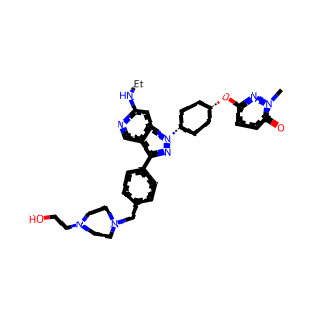 CCNc1cc2c(cn1)c(-c1ccc(CN3CCN(CCO)CC3)cc1)nn2[C@H]1CC[C@@H](Oc2ccc(=O)n(C)n2)CC1